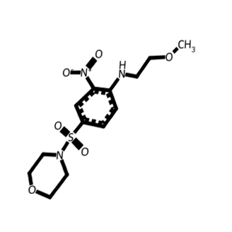 COCCNc1ccc(S(=O)(=O)N2CCOCC2)cc1[N+](=O)[O-]